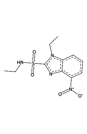 CCNS(=O)(=O)c1nc2c([N+](=O)[O-])cccc2n1CC